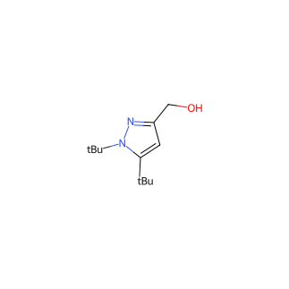 CC(C)(C)c1cc(CO)nn1C(C)(C)C